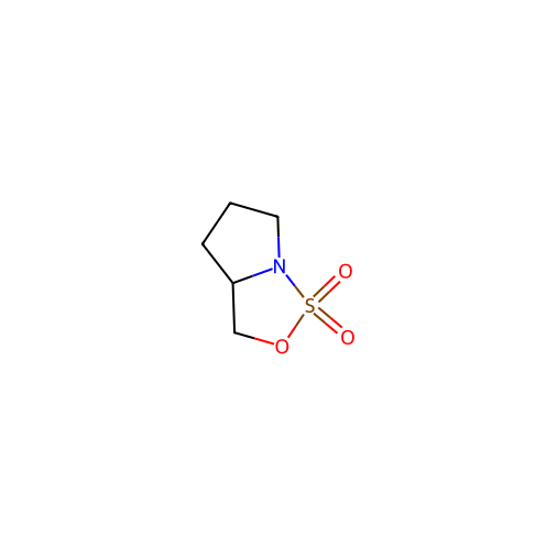 O=S1(=O)OCC2CCCN21